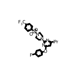 CC(C)c1cc(Oc2ccc(F)cc2)nc(N2CCN(S(=O)(=O)c3ccc(C(F)(F)F)cc3)CC2)n1